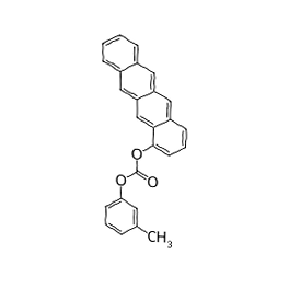 Cc1cccc(OC(=O)Oc2cccc3cc4cc5ccccc5cc4cc23)c1